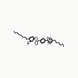 CCCCCCCCc1ccc(OC(=O)c2ccc(-c3ncc(CCCCCC)cn3)cc2)cc1F